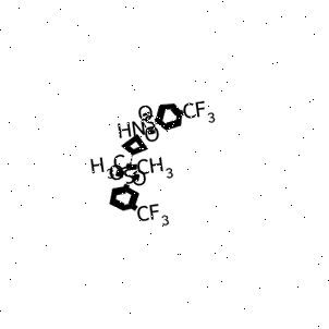 CC(C)([C@H]1C[C@H](NS(=O)(=O)c2ccc(C(F)(F)F)cc2)C1)S(=O)(=O)c1cccc(C(F)(F)F)c1